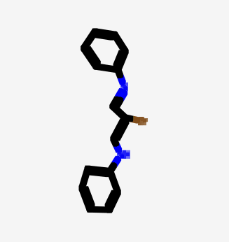 BrC(C=Nc1ccccc1)=CNc1ccccc1